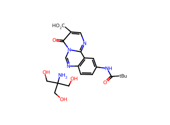 CC(C)(C)C(=O)Nc1ccc2ncn3c(=O)c(C(=O)O)cnc3c2c1.NC(CO)(CO)CO